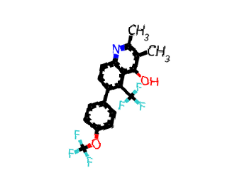 Cc1nc2ccc(-c3ccc(OC(F)(F)F)cc3)c(C(F)(F)F)c2c(O)c1C